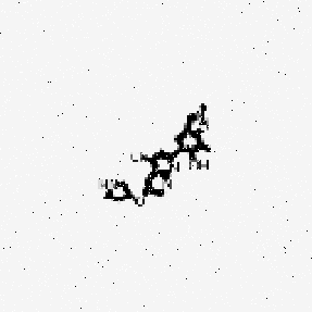 Cc1c(O)c(-c2cc(Cl)c3cc(OC4CCNC4)cnc3n2)cc2cn(C)nc12